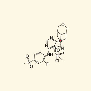 CCOc1c(Nc2ccc(S(C)(=O)=O)cc2F)ncnc1OC1C2COCC1CN(c1ncc(Cl)cn1)C2